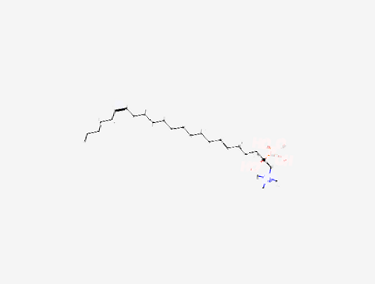 CCCCC/C=C\CCCCCCCCCCCCCCC(O)(C[N+](C)(C)C)P(=O)(O)O